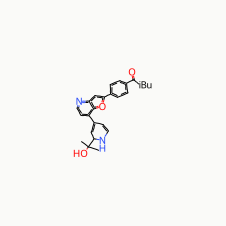 CCC(C)C(=O)c1ccc(-c2cc3nccc(C4=CC(C(C)(C)O)NC=C4)c3o2)cc1